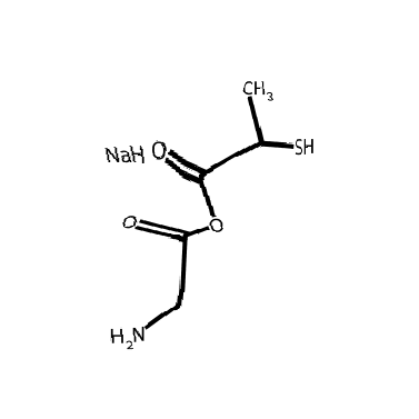 CC(S)C(=O)OC(=O)CN.[NaH]